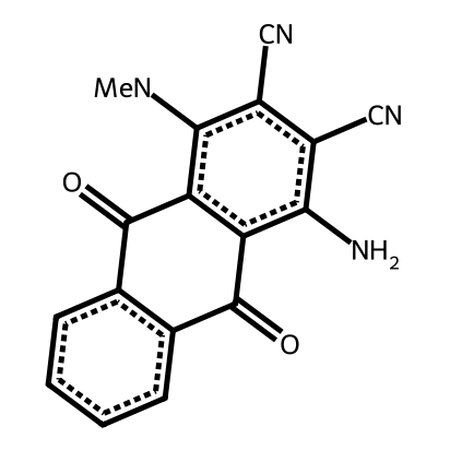 CNc1c(C#N)c(C#N)c(N)c2c1C(=O)c1ccccc1C2=O